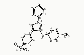 CS(=O)(=O)c1ccc(-c2nn(-c3ccccc3)cc2Sc2ccc(C(F)(F)F)cn2)cc1